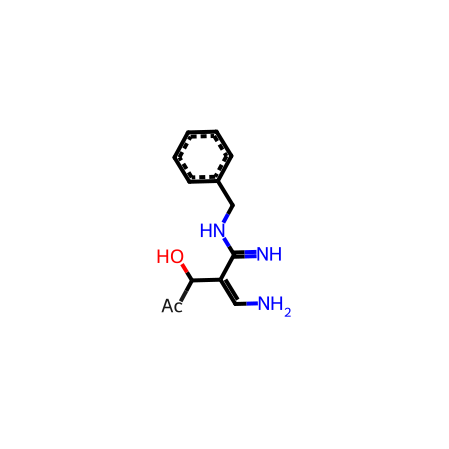 CC(=O)C(O)/C(=C/N)C(=N)NCc1ccccc1